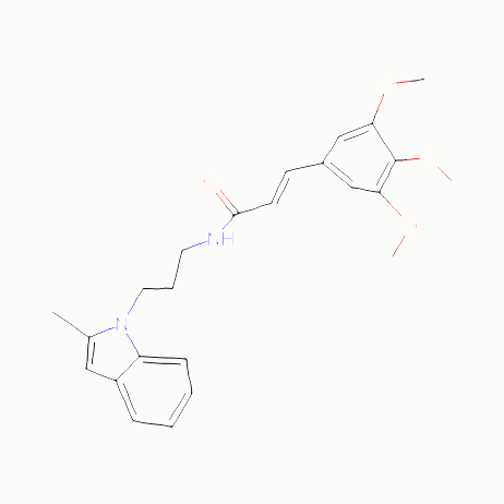 COc1cc(/C=C/C(=O)NCCCn2c(C)cc3ccccc32)cc(OC)c1OC